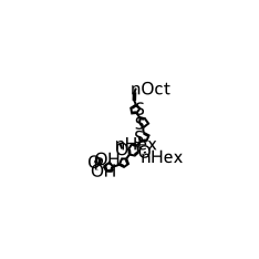 CCCCCCCCC#Cc1ccc(C2=CCC(c3ccc(-c4cc(OCCCCCC)c(C5=CC=C(C6=CC=C(P(=O)(O)O)C6)C5)cc4OCCCCCC)s3)S2)s1